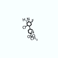 CS(=O)(=O)c1ccc(-c2cc(F)c(N)cc2Cl)cn1